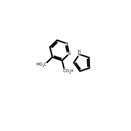 O=C(O)c1ccnnc1C(=O)O.c1cc[nH]c1